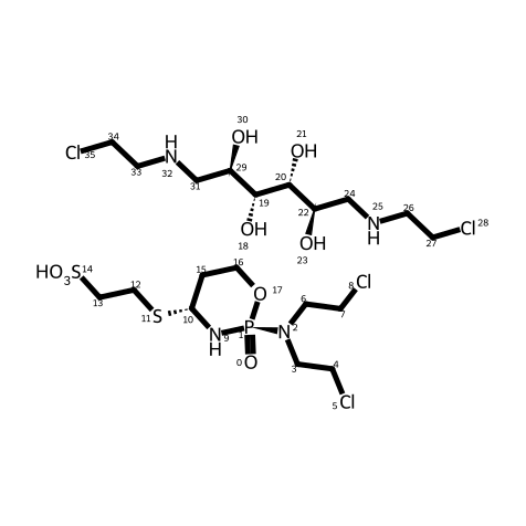 O=[P@]1(N(CCCl)CCCl)N[C@H](SCCS(=O)(=O)O)CCO1.O[C@@H]([C@H](O)[C@H](O)CNCCCl)[C@H](O)CNCCCl